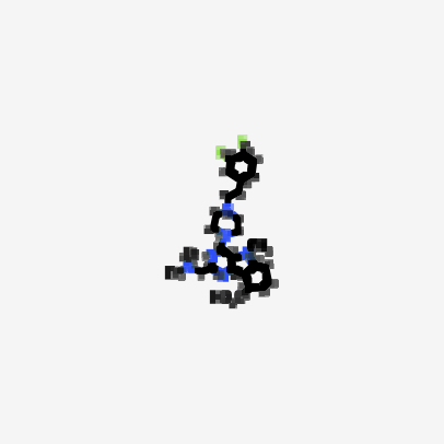 CCN(CC)Cc1nc(N2CCN(CCc3ccc(F)c(F)c3)CC2)c2c(n1)c1c(C(=O)O)cccc1n2C